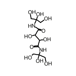 O=C(NC(O)(CO)CO)C(O)C(O)C(=O)NC(O)(CO)CO